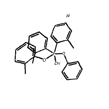 Cc1ccccc1OP(O)(Oc1ccccc1)(c1ccccc1C)c1ccccc1C.[Ni]